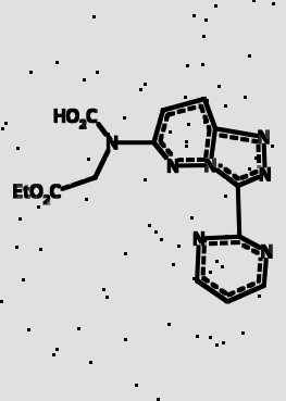 CCOC(=O)CN(C(=O)O)c1ccc2nnc(-c3ncccn3)n2n1